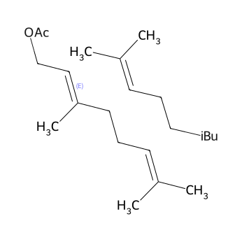 CC(=O)OC/C=C(\C)CCC=C(C)C.CCC(C)CCC=C(C)C